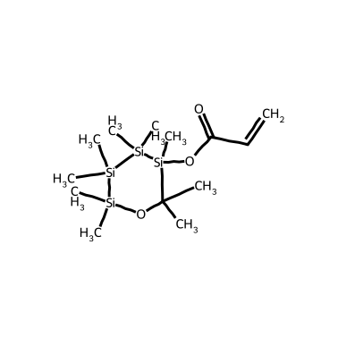 C=CC(=O)O[Si]1(C)C(C)(C)O[Si](C)(C)[Si](C)(C)[Si]1(C)C